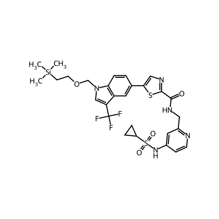 C[Si](C)(C)CCOCn1cc(C(F)(F)F)c2cc(-c3cnc(C(=O)NCc4cc(NS(=O)(=O)C5CC5)ccn4)s3)ccc21